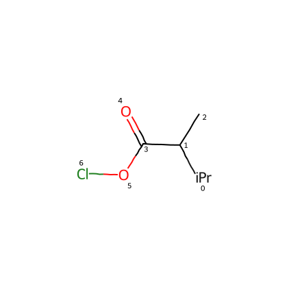 CC(C)C(C)C(=O)OCl